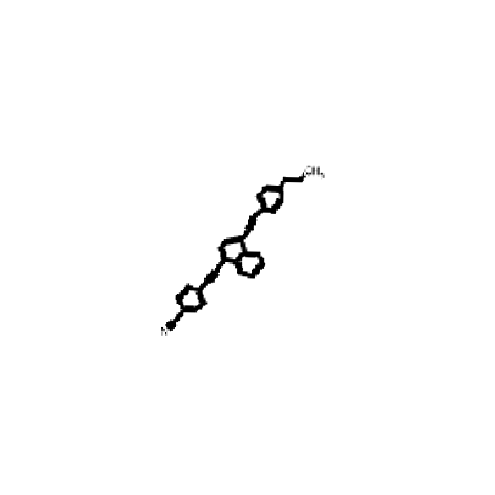 CCCc1ccc(C#Cc2ccc(C#Cc3ccc(C#N)cc3)c3ccccc23)cc1